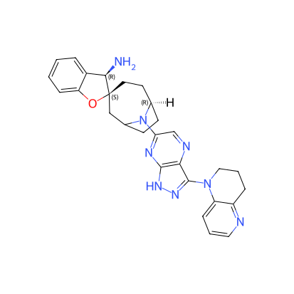 N[C@@H]1c2ccccc2O[C@]12CC[C@H]1CCC(C2)N1c1cnc2c(N3CCCc4ncccc43)n[nH]c2n1